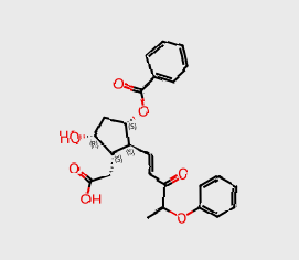 CC(Oc1ccccc1)C(=O)C=C[C@H]1[C@H](CC(=O)O)[C@H](O)C[C@@H]1OC(=O)c1ccccc1